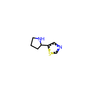 c1ncc(C2CCCN2)s1